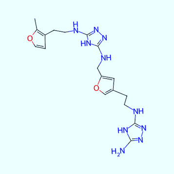 Cc1occc1CCNc1nnc(NCc2cc(CCNc3nnc(N)[nH]3)co2)[nH]1